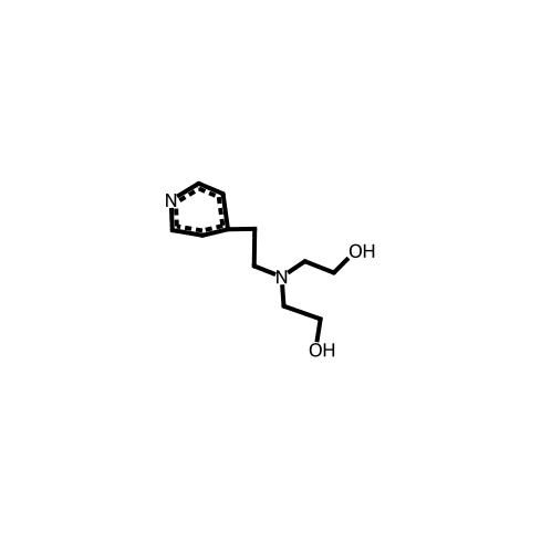 OCCN(CCO)CCc1ccncc1